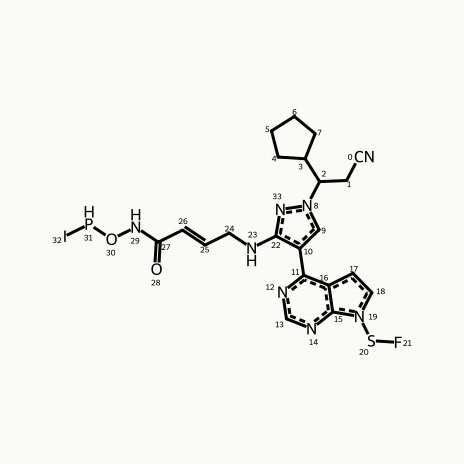 N#CCC(C1CCCC1)n1cc(-c2ncnc3c2ccn3SF)c(NC/C=C/C(=O)NOPI)n1